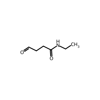 CCNC(=O)CCC=O